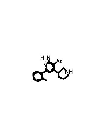 CC(=O)c1c(C2CCCNC2)cc(-c2ccccc2C)nc1N